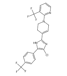 FC(F)(F)c1ccc(-c2[nH]c(C3=CCN(c4ncccc4C(F)(F)F)CC3)nc2Cl)cc1